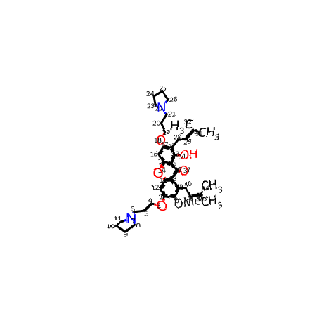 COc1c(OCCCN2CCCC2)cc2oc3cc(OCCCN4CCCC4)c(CC=C(C)C)c(O)c3c(=O)c2c1CC=C(C)C